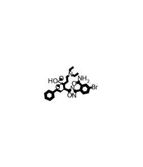 CCN(CC)CCC([C@H](CCc1ccccc1)c1nc(-c2ccc(Br)cc2C(N)=O)no1)S(=O)(=O)O